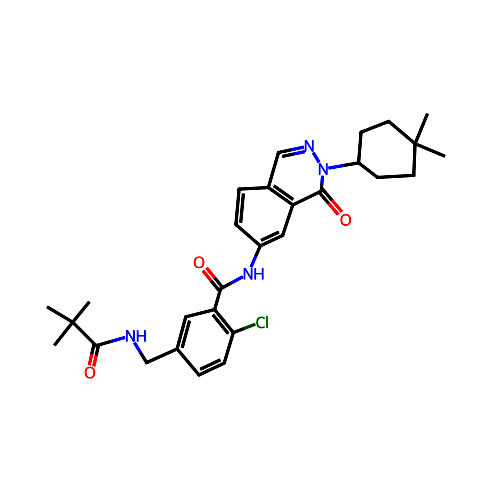 CC1(C)CCC(n2ncc3ccc(NC(=O)c4cc(CNC(=O)C(C)(C)C)ccc4Cl)cc3c2=O)CC1